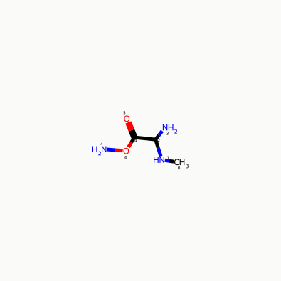 CNC(N)C(=O)ON